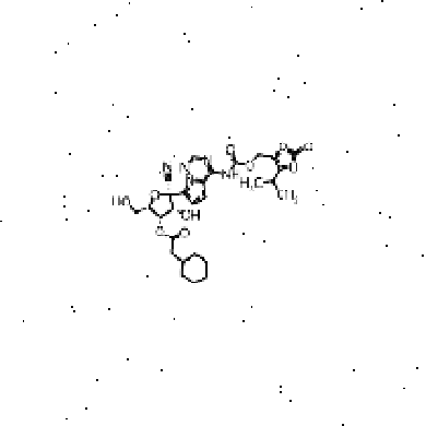 CC(C)c1oc(=O)oc1COC(=O)Nc1ncnn2c([C@]3(C#N)O[C@H](CO)[C@@H](OC(=O)CC4CCCCC4)[C@H]3O)ccc12